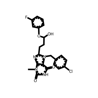 Cn1c(=O)[nH]c(=O)c2c1nc(CCC(O)Oc1cccc(F)c1)n2Cc1ccc(Cl)cc1